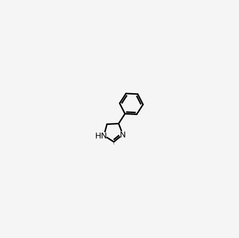 [C]1=NC(c2ccccc2)CN1